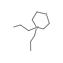 CCC[N+]1(CCC)CCSCC1